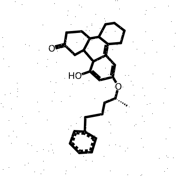 C[C@H](CCCc1ccccc1)OC1=CC2=C3CCCCC3C3CCC(=O)CC3C2C(O)=C1